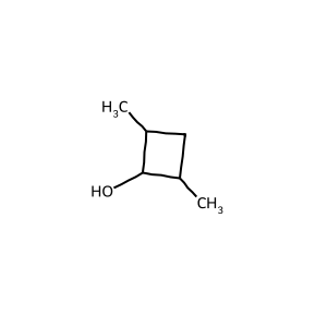 CC1CC(C)C1O